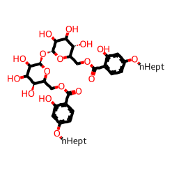 CCCCCCCOc1ccc(C(=O)OCC2O[C@H](O[C@H]3OC(COC(=O)c4ccc(OCCCCCCC)cc4O)[C@@H](O)C(O)C3O)C(O)C(O)[C@@H]2O)c(O)c1